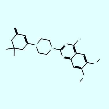 CCOc1cc2nc(N3CCN(C4=CC(=O)CC(C)(C)C4)CC3)nc(N)c2cc1OCC